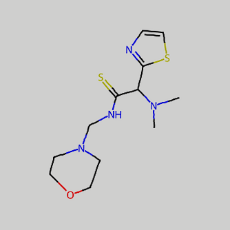 CN(C)C(C(=S)NCN1CCOCC1)c1nccs1